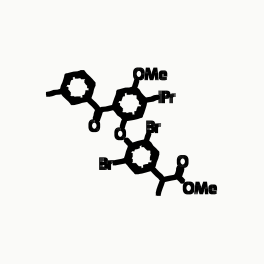 COC(=O)C(C)c1cc(Br)c(Oc2cc(C(C)C)c(OC)cc2C(=O)c2cccc(C)c2)c(Br)c1